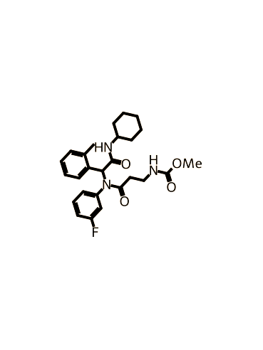 COC(=O)NCCC(=O)N(c1cccc(F)c1)C(C(=O)NC1CCCCC1)c1ccccc1C